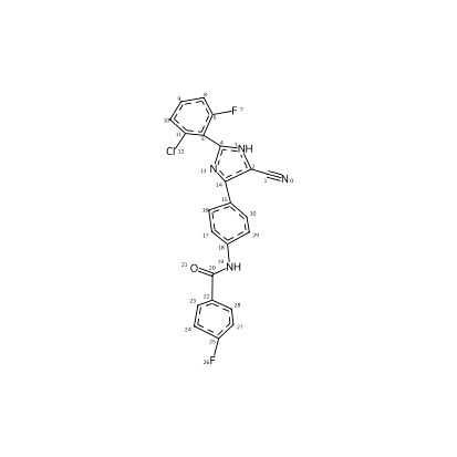 N#Cc1[nH]c(-c2c(F)cccc2Cl)nc1-c1ccc(NC(=O)c2ccc(F)cc2)cc1